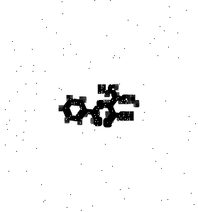 CC(C)C(SC(=O)c1ccccc1)C(=O)O